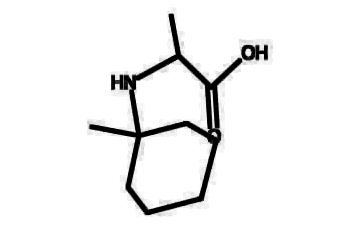 CC(NC1(C)CCCCC1)C(=O)O